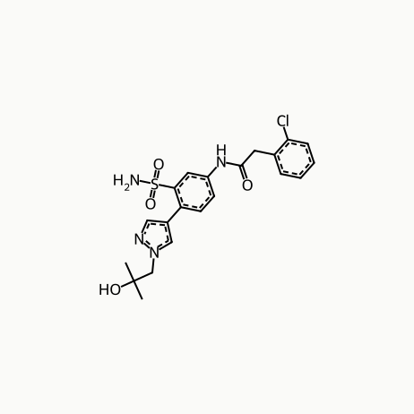 CC(C)(O)Cn1cc(-c2ccc(NC(=O)Cc3ccccc3Cl)cc2S(N)(=O)=O)cn1